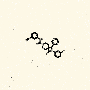 N#Cc1cccc(NC(=O)N2CCC3(CC2)C(=O)N(c2cccc(Cl)c2)C3c2cccnc2)c1